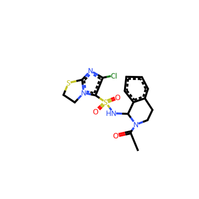 CC(=O)N1CCc2ccccc2C1NS(=O)(=O)c1c(Cl)nc2n1CCS2